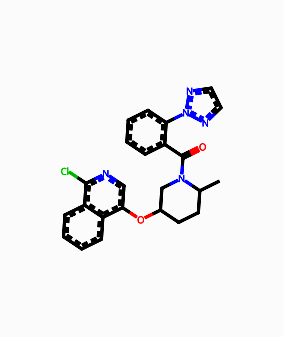 CC1CCC(Oc2cnc(Cl)c3ccccc23)CN1C(=O)c1ccccc1-n1nccn1